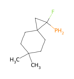 CC1(C)CCC2(CC1)CC2(F)P